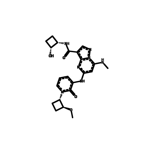 CNc1cc(Nc2cccn([C@H]3CC[C@@H]3OC)c2=O)nc2c(C(=O)N[C@H]3CC[C@H]3O)cnn12